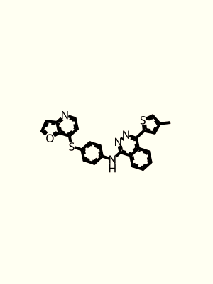 Cc1csc(-c2nnc(Nc3ccc(Sc4ccnc5ccoc45)cc3)c3ccccc23)c1